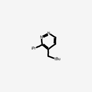 CC(C)c1nnccc1CC(C)(C)C